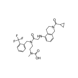 CN(CCN(Cc1ccccc1C(F)(F)F)C(=O)CNc1cccc2c1CCN(C(=O)C1CC1)C2)C(=O)O